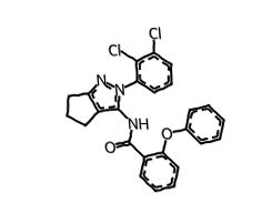 O=C(Nc1c2c(nn1-c1cccc(Cl)c1Cl)CCC2)c1ccccc1Oc1ccccc1